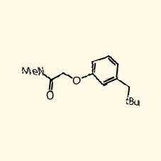 CNC(=O)COc1cccc(CC(C)(C)C)c1